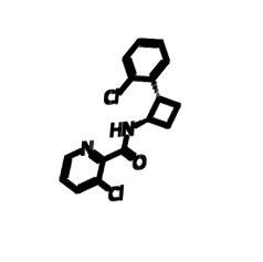 O=C(N[C@@H]1CC[C@H]1c1ccccc1Cl)c1ncccc1Cl